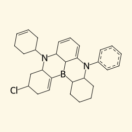 ClC1CC=C2B3C4CCCCC4N(c4ccccc4)C4=CC=CC(C34)N(C3CC=CCC3)C2C1